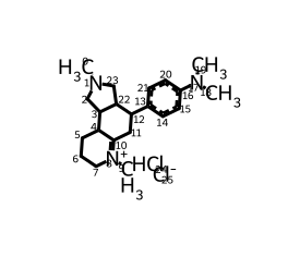 CN1CC2C3CCC[N+](C)=C3CC(c3ccc(N(C)C)cc3)C2C1.Cl.[Cl-]